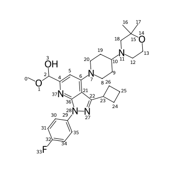 COC(O)c1cc(N2CCC(N3CCOC(C)(C)C3)CC2)c2c(C3CCC3)nn(-c3ccc(F)cc3)c2n1